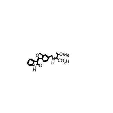 COC(C)C(NCc1ccc2c(c1)COC2=C1C(=O)Nc2ccccc21)C(=O)O